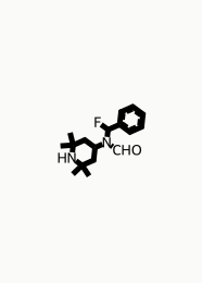 CC1(C)CC(N(C=O)C(F)c2ccccc2)CC(C)(C)N1